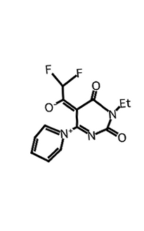 CCN1C(=O)N=C([n+]2ccccc2)/C(=C(\[O-])C(F)F)C1=O